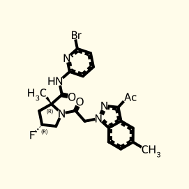 CC(=O)c1nn(CC(=O)N2C[C@H](F)C[C@]2(C)C(=O)Nc2cccc(Br)n2)c2ccc(C)cc12